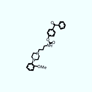 COc1ccccc1N1CCN(CCCNC(=O)Oc2ccc(C(=O)c3ccccc3)cc2)CC1